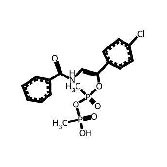 CP(=O)(O)OP(C)(=O)OC(=CNC(=O)c1ccccc1)c1ccc(Cl)cc1